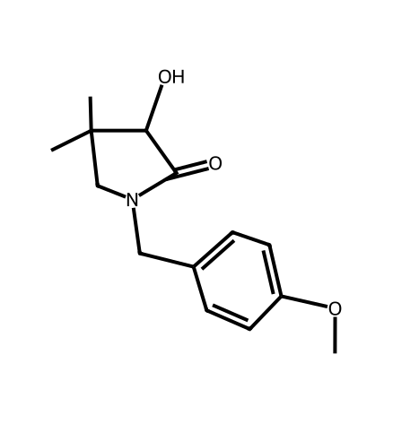 COc1ccc(CN2CC(C)(C)C(O)C2=O)cc1